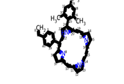 C=Cc1ccc(-c2c3nc(cc4ccc(cc5nc(cc6[nH]c2cc6-c2c(C)cc(C)cc2C)C=C5)[nH]4)C=C3)cc1